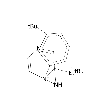 CCC12C=NC=C[N+]1(c1cc(C(C)(C)C)ccc1C(C)(C)C)N2